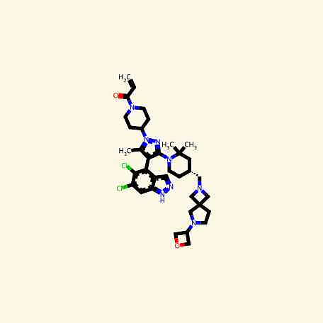 C=CC(=O)N1CCC(n2nc(N3CC[C@@H](CN4CC5(CCN(C6COC6)C5)C4)CC3(C)C)c(-c3c(Cl)c(Cl)cc4[nH]ncc34)c2C)CC1